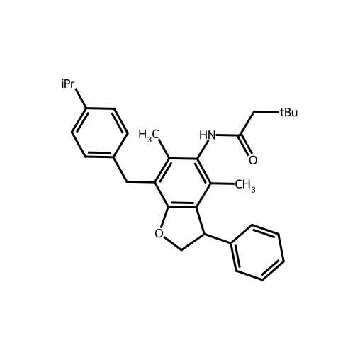 Cc1c(Cc2ccc(C(C)C)cc2)c2c(c(C)c1NC(=O)CC(C)(C)C)C(c1ccccc1)CO2